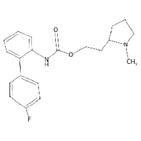 CN1CCCC1CCOC(=O)Nc1ccccc1-c1ccc(F)cc1